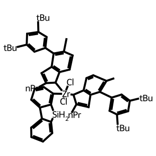 CCCC1=Cc2c(ccc(C)c2-c2cc(C(C)(C)C)cc(C(C)(C)C)c2)[CH]1[Zr]([Cl])([Cl])([c]1cccc2c1[SiH2]c1ccccc1-2)[CH]1C(CCC)=Cc2c1ccc(C)c2-c1cc(C(C)(C)C)cc(C(C)(C)C)c1